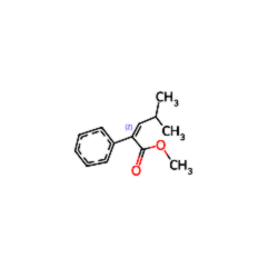 COC(=O)/C(=C\C(C)C)c1ccccc1